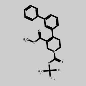 COC(=O)C1=C(c2cccc(-c3ccccc3)c2)CCN(C(=O)OC(C)(C)C)C1